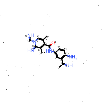 CC(=N)c1cc(NC(=O)c2c(C)cn(C=N)c(=N)c2C)ccc1N